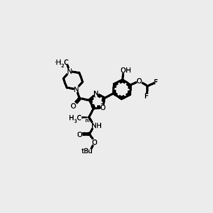 [CH2]N1CCN(C(=O)c2nc(-c3ccc(OC(F)F)c(O)c3)oc2[C@H](C)NC(=O)OC(C)(C)C)CC1